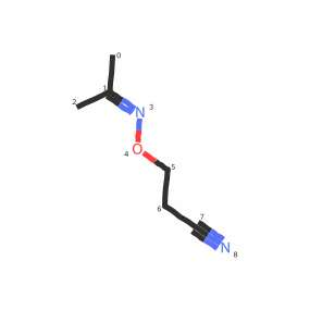 CC(C)=NOCCC#N